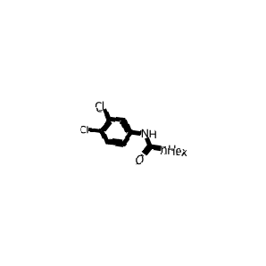 CCCCCCC(=O)Nc1ccc(Cl)c(Cl)c1